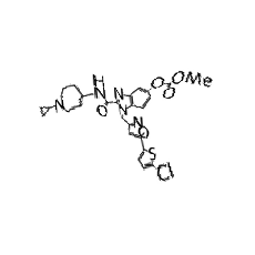 COC(=O)Oc1ccc2c(c1)nc(C(=O)NC1CCN(C3CC3)CC1)n2Cc1cc(-c2ccc(Cl)s2)on1